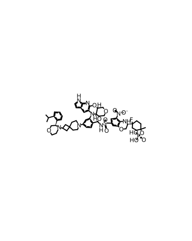 CC(C)c1ccccc1[C@@H]1COCCN1C1CC2(CCN(c3ccc(C(=O)NS(=O)(=O)c4cc5c(c([N+](=O)[O-])c4)N[C@@H](C4(F)CCC(C)(OP(=O)(O)O)CC4)CO5)c(N4c5cc6cc[nH]c6nc5O[C@H]5COCC[C@@H]54)c3)CC2)C1